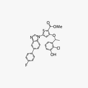 COC(=O)c1sc(-n2cnc3cc(-c4ccc(F)cc4)ccc32)cc1OC(C)c1cccc(O)c1Cl